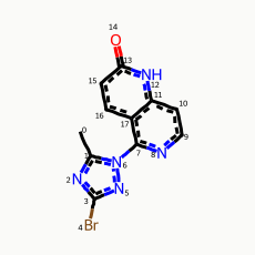 Cc1nc(Br)nn1-c1nccc2[nH]c(=O)ccc12